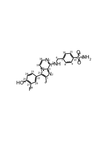 Cc1nc2c(NCc3ccc(S(N)(=O)=O)cc3)nccn2c1-c1ccc(O)c(F)c1